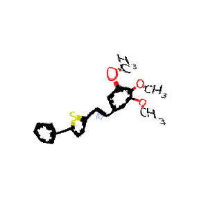 COc1cc(/C=C/c2ccc(-c3ccccc3)s2)cc(OC)c1OC